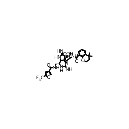 CC1(C)CCOc2c(C(=O)NC3CN4C(=N)N[C@@H](CNC(=O)c5coc(C(F)(F)F)c5)C5NC(=N)NC54C3(O)O)cccc21